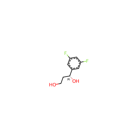 OCC[C@@H](O)c1cc(F)cc(F)c1